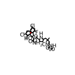 CC(C)(CCNS(C)(=O)=O)CC1NC(C(=O)O[C@@H](c2ccc(Cl)cc2F)[C@](O)(CC(N)=O)c2cccc(Cl)c2F)CC1C#N